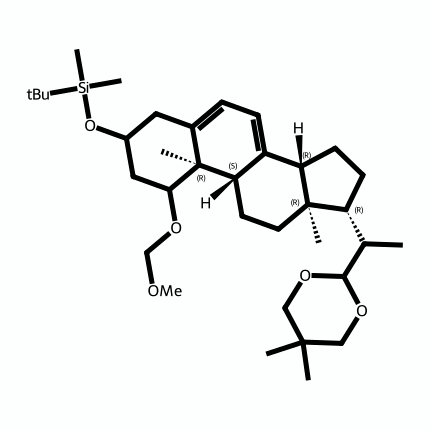 COCOC1CC(O[Si](C)(C)C(C)(C)C)CC2=CC=C3[C@@H]4CC[C@H](C(C)C5OCC(C)(C)CO5)[C@@]4(C)CC[C@@H]3[C@]21C